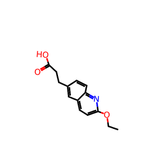 CCOc1ccc2cc(CCC(=O)O)ccc2n1